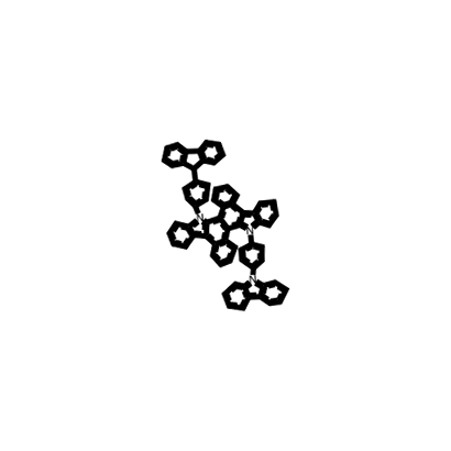 c1ccc2c(c1)-c1ccccc1C2c1ccc(-n2c3ccccc3c3c4ccccc4c4c(c5ccccc5c5c6ccccc6n(-c6ccc(-n7c8ccccc8c8ccccc87)cc6)c54)c32)cc1